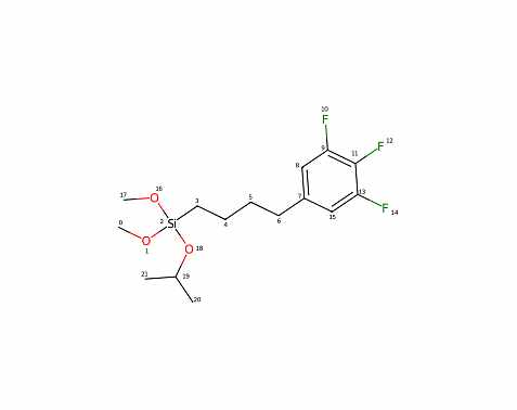 CO[Si](CCCCc1cc(F)c(F)c(F)c1)(OC)OC(C)C